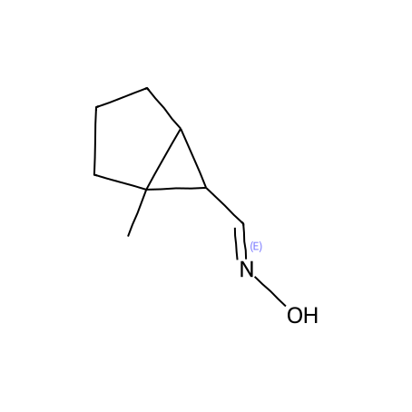 CC12CCCC1C2/C=N/O